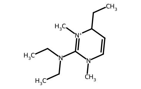 CCC1C=CN(C)C(N(CC)CC)=[N+]1C